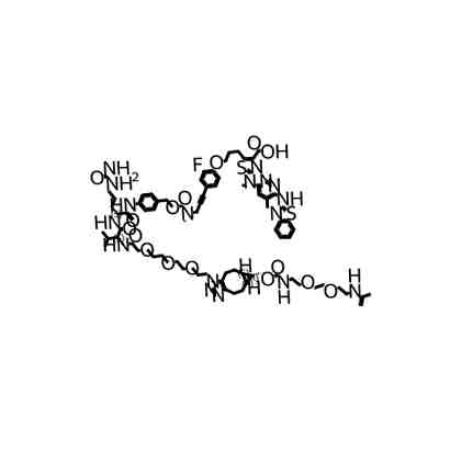 C=C(C)NCCOCCOCCNC(=O)OC[C@@H]1[C@@H]2CCc3nnn(CCOCCOCCOCC(=O)N[C@H](C(=O)N[C@@H](CCCNC(N)=O)C(=O)Nc4ccc(COC(=O)N(C)CC#Cc5ccc(OCCCc6sc(N(C)c7cc(C)c(Nc8nc9ccccc9s8)nn7)nc6C(=O)O)c(F)c5)cc4)C(C)C)c3CC[C@@H]21